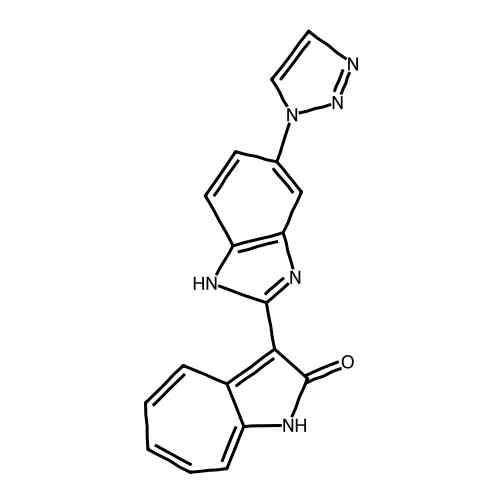 O=c1[nH]c2cccccc-2c1-c1nc2cc(-n3ccnn3)ccc2[nH]1